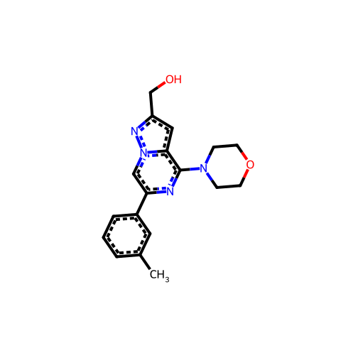 Cc1cccc(-c2cn3nc(CO)cc3c(N3CCOCC3)n2)c1